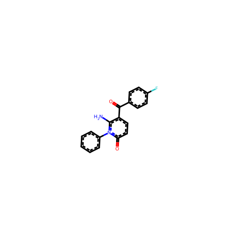 Nc1c(C(=O)c2ccc(F)cc2)ccc(=O)n1-c1ccccc1